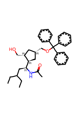 CCC(CC)C[C@H](NC(C)=O)[C@@H]1C[C@@H](COC(c2ccccc2)(c2ccccc2)c2ccccc2)C[C@H]1CO